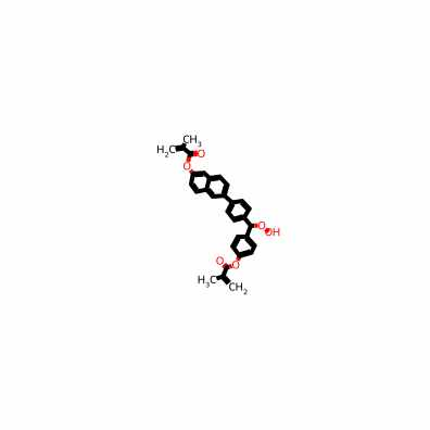 C=C(C)C(=O)Oc1ccc(C(OO)c2ccc(-c3ccc4cc(OC(=O)C(=C)C)ccc4c3)cc2)cc1